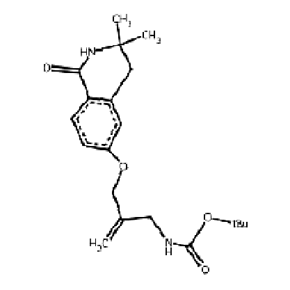 C=C(CNC(=O)OC(C)(C)C)COc1ccc2c(c1)CC(C)(C)NC2=O